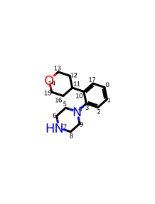 c1ccc(N2CCNCC2)c(C2CCOCC2)c1